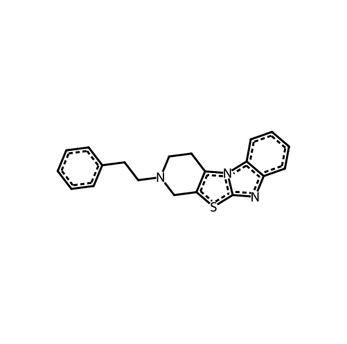 c1ccc(CCN2CCc3c(sc4nc5ccccc5n34)C2)cc1